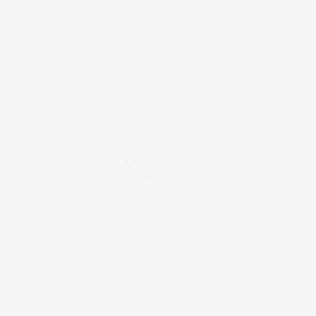 CC(CCCCl)(C(=O)O)C(=O)O